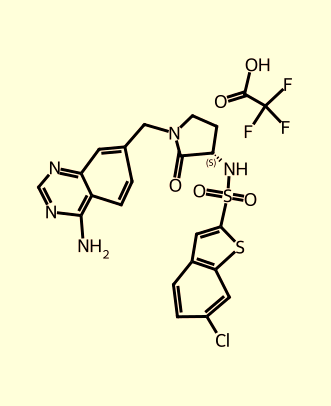 Nc1ncnc2cc(CN3CC[C@H](NS(=O)(=O)c4cc5ccc(Cl)cc5s4)C3=O)ccc12.O=C(O)C(F)(F)F